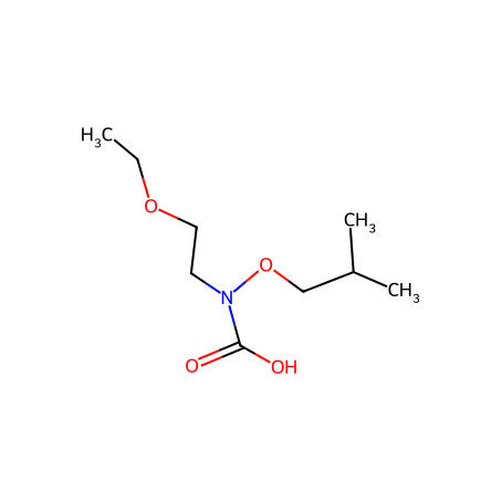 CCOCCN(OCC(C)C)C(=O)O